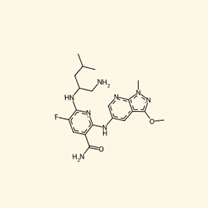 COc1nn(C)c2ncc(Nc3nc(NC(CN)CC(C)C)c(F)cc3C(N)=O)cc12